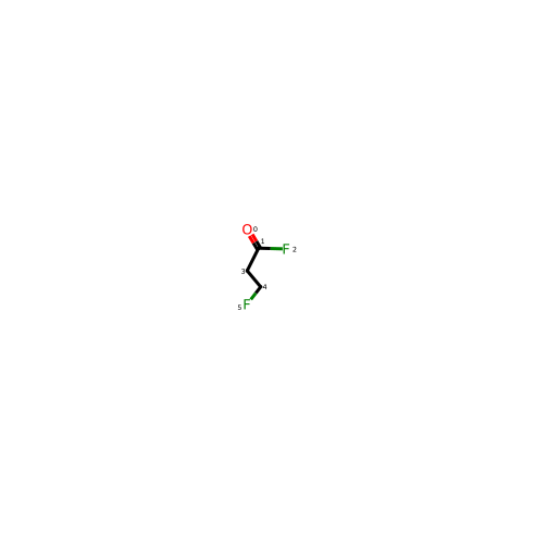 O=C(F)CCF